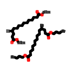 CCC(CCCCCCCCCCC(=O)OCCCC(C)C)CCC(=O)OCCCC(C)C.CCCCCCOC(=O)CCCCCCCCCCC(CC)CCC(=O)OCCCCCC